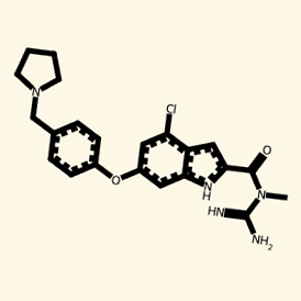 CN(C(=N)N)C(=O)c1cc2c(Cl)cc(Oc3ccc(CN4CCCC4)cc3)cc2[nH]1